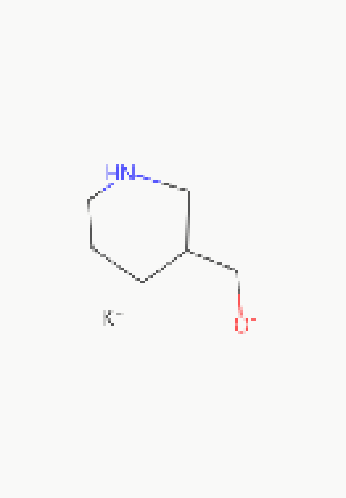 [K+].[O-]CC1CCCNC1